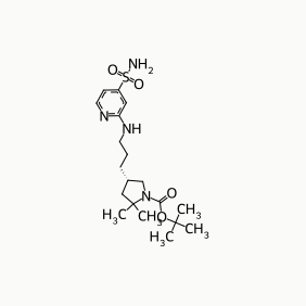 CC(C)(C)OC(=O)N1C[C@@H](CCCNc2cc(S(N)(=O)=O)ccn2)CC1(C)C